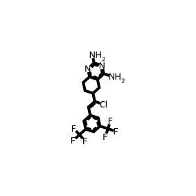 Nc1nc(N)c2c(n1)CCC(/C(Cl)=C/c1cc(C(F)(F)F)cc(C(F)(F)F)c1)C2